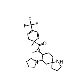 CN(C(=O)C1(C)C=CC(C(F)(F)F)=CC1)C1CCC2(CCCN2)CC1N1CCCC1